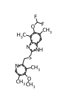 COc1c(C)cnc(CSc2nc3c(C)c(OC(F)F)c(C)cc3[nH]2)c1C